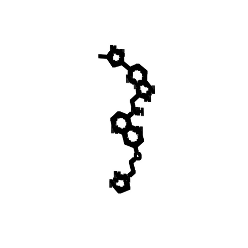 Cc1cc(-c2ccc3nnc(CNc4ccnc5cc(OCCn6ccnn6)cnc45)n3n2)sn1